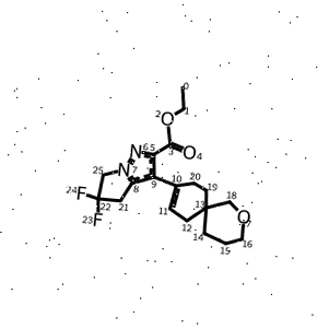 CCOC(=O)c1nn2c(c1C1=CCC3(CCCOC3)CC1)CC(F)(F)C2